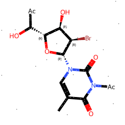 CC(=O)C(O)[C@H]1O[C@@H](n2cc(C)c(=O)n(C(C)=O)c2=O)[C@H](Br)[C@@H]1O